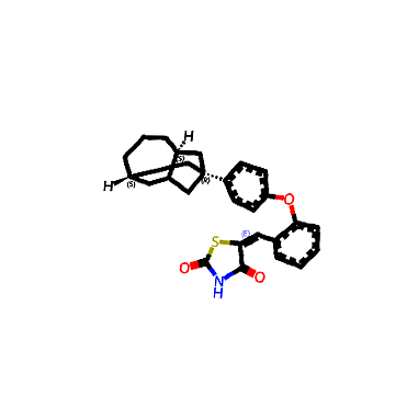 O=C1NC(=O)/C(=C\c2ccccc2Oc2ccc([C@@]34CC5C[C@H](CCC[C@H]5C3)C4)cc2)S1